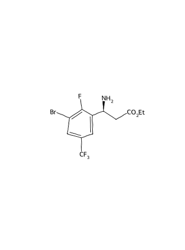 CCOC(=O)C[C@H](N)c1cc(C(F)(F)F)cc(Br)c1F